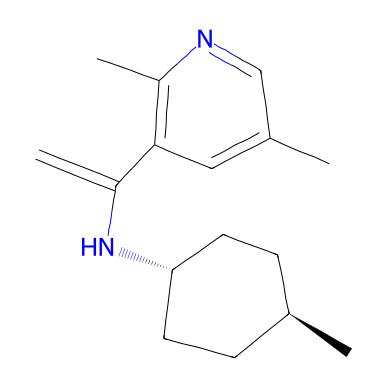 C=C(N[C@H]1CC[C@H](C)CC1)c1cc(C)cnc1C